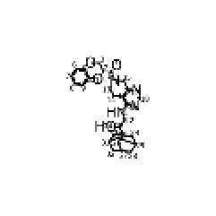 O=C([C@@H]1COc2ccccc2O1)N1CCc2c(ncnc2NCC(O)C23CC4CC(CC(C4)C2)C3)C1